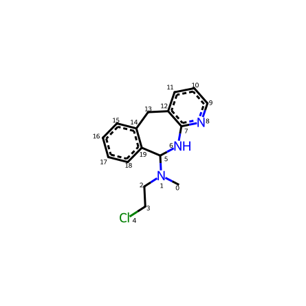 CN(CCCl)C1Nc2ncccc2Cc2ccccc21